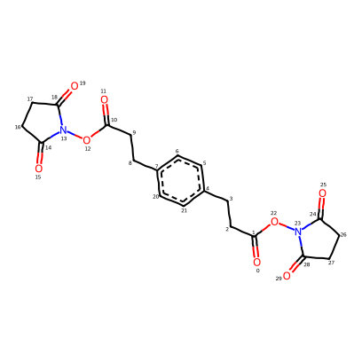 O=C(CCc1ccc(CCC(=O)ON2C(=O)CCC2=O)cc1)ON1C(=O)CCC1=O